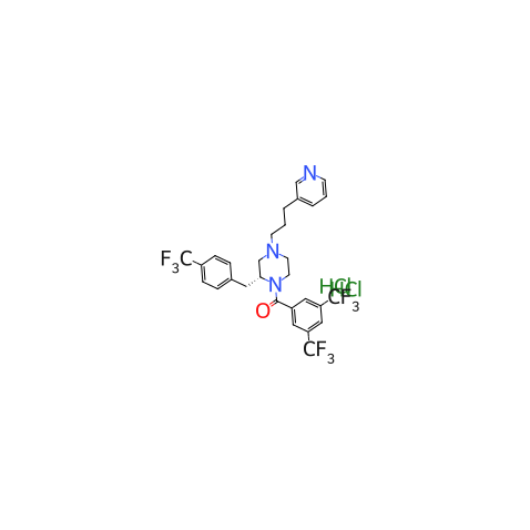 Cl.Cl.O=C(c1cc(C(F)(F)F)cc(C(F)(F)F)c1)N1CCN(CCCc2cccnc2)C[C@H]1Cc1ccc(C(F)(F)F)cc1